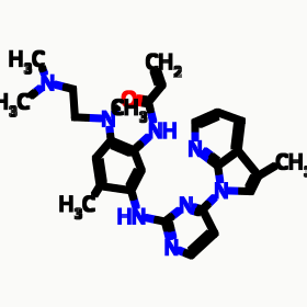 C=CC(=O)Nc1cc(Nc2nccc(-n3cc(C)c4cccnc43)n2)c(C)cc1N(C)CCN(C)C